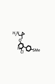 CSc1ccc(-c2cc(OCC3(CN)CC3)cnc2Cl)cc1